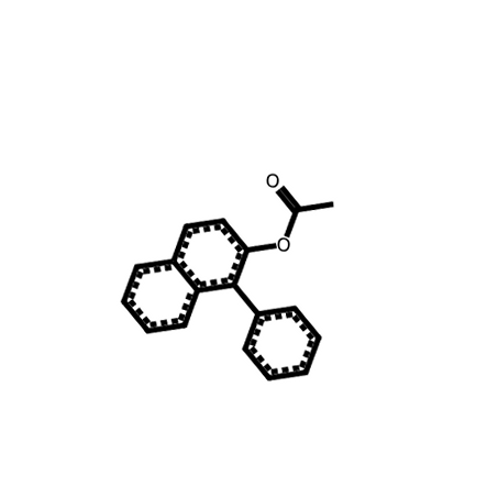 CC(=O)Oc1ccc2ccccc2c1-c1ccccc1